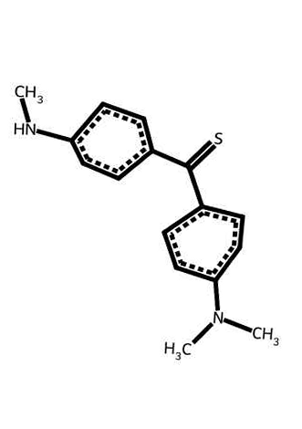 CNc1ccc(C(=S)c2ccc(N(C)C)cc2)cc1